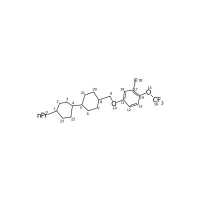 CCCC1CCC(C2CCC(COc3ccc(OC(F)(F)F)c(F)c3)CC2)CC1